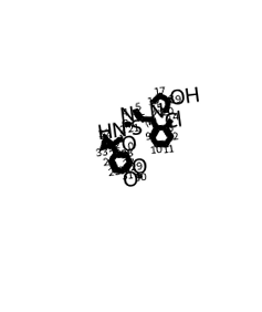 O=C(Nc1ncc([C@@H](c2ccccc2Cl)N2CCC(O)C2)s1)C1(c2ccc3c(c2)OCO3)CC1